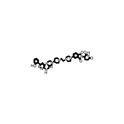 O=C1CCC(N2C(=O)c3ccc(N4CCN(CCN5CCC(N6CCN7c8cc(-c9ccccc9O)nnc8NC[C@H]7C6)CC5)CC4)cc3C2=O)C(=O)N1